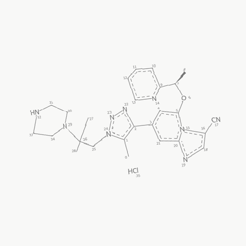 Cc1c(-c2cc(O[C@H](C)c3ccccn3)n3c(C#N)cnc3c2)nnn1CC(C)(C)N1CCNCC1.Cl